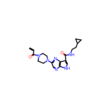 C=CC(=O)N1CCN(c2cnc3[nH]cc(C(=O)NCCC4CC4)c3n2)CC1